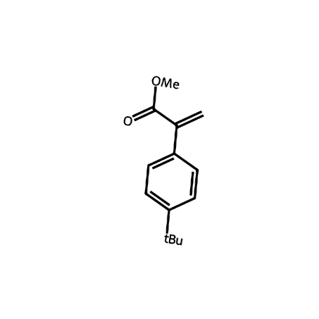 C=C(C(=O)OC)c1ccc(C(C)(C)C)cc1